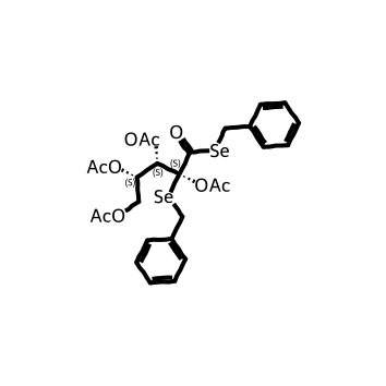 CC(=O)OC[C@H](OC(C)=O)[C@H](OC(C)=O)[C@](OC(C)=O)([Se]Cc1ccccc1)C(=O)[Se]Cc1ccccc1